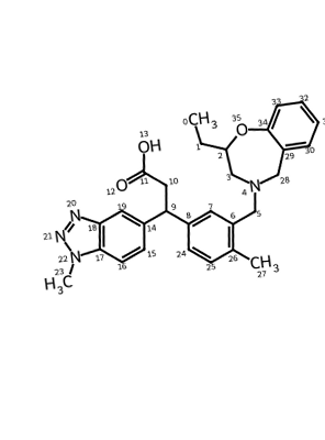 CCC1CN(Cc2cc(C(CC(=O)O)c3ccc4c(c3)nnn4C)ccc2C)Cc2ccccc2O1